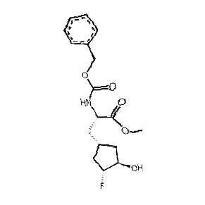 COC(=O)[C@H](C[C@@H]1C[C@@H](O)[C@H](F)C1)NC(=O)OCc1ccccc1